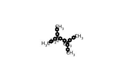 Cc1ccc(-c2ccc(N(c3ccc(-c4ccc(C)cc4)cc3)c3ccc(-c4ccc(N(c5ccc(-c6ccc(C)cc6)cc5)c5ccc(-c6ccc(C)cc6)cc5)c(C)c4)cc3C)cc2)cc1